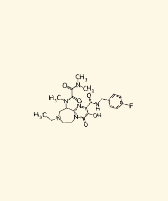 CCN1CCn2c(nc(C(=O)NCc3ccc(F)cc3)c(O)c2=O)C(N(C)C(=O)C(=O)N(C)C)C1